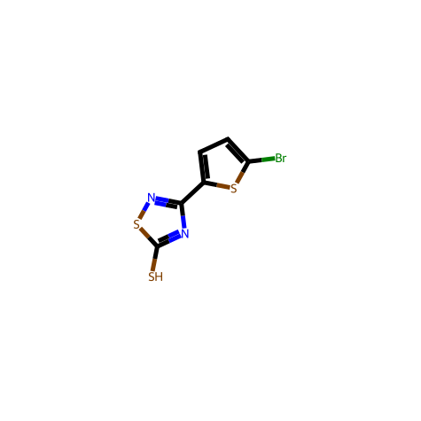 Sc1nc(-c2ccc(Br)s2)ns1